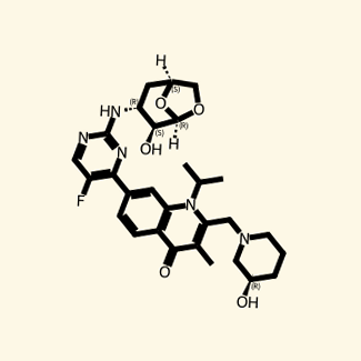 Cc1c(CN2CCC[C@@H](O)C2)n(C(C)C)c2cc(-c3nc(N[C@@H]4C[C@H]5CO[C@H](O5)[C@H]4O)ncc3F)ccc2c1=O